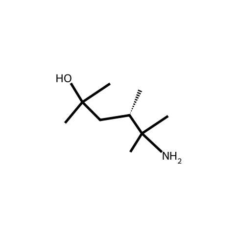 C[C@@H](CC(C)(C)O)C(C)(C)N